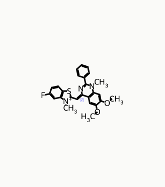 COc1cc2c(cc1OC)N(C)C(c1ccccc1)=N/C2=C\c1sc2ccc(F)cc2[n+]1C